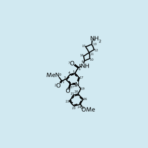 CNC(=O)c1cc(C(=O)NC2CC3(CC(N)C3)C2)cn(Cc2cccc(OC)c2)c1=O